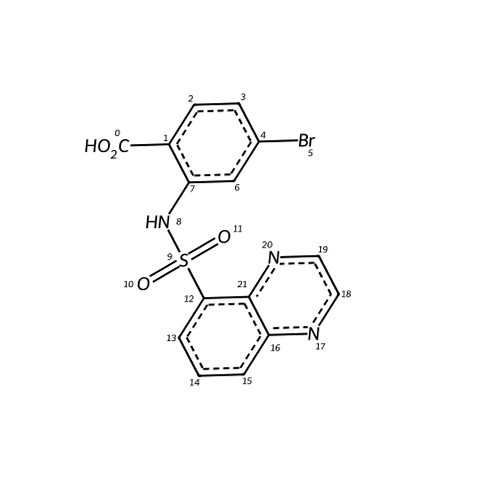 O=C(O)c1ccc(Br)cc1NS(=O)(=O)c1cccc2nccnc12